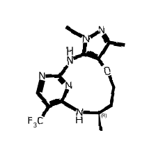 Cc1nn(C)c2c1OCC[C@@H](C)Nc1nc(ncc1C(F)(F)F)N2